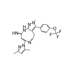 Cc1cc(C)n(C2=C/C(=N)Nc3nn(C)c(-c4ccc(OC(F)(F)F)cc4)c3C/C=N\2)n1